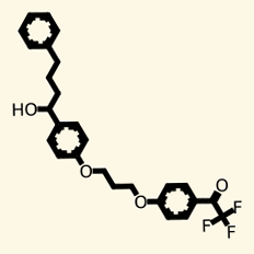 O=C(c1ccc(OCCCOc2ccc(C(O)CCCc3ccccc3)cc2)cc1)C(F)(F)F